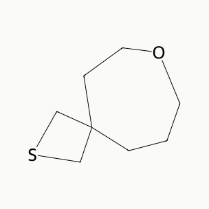 C1COCCC2(C1)CSC2